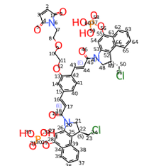 O=C1C=CC(=O)N1CCOCCOc1cc(/C=C/C(=O)N2C[C@@H](CCl)c3c2cc(OP(=O)(O)O)c2ccccc32)ccc1/C=C/C(=O)N1C[C@@H](CCl)c2c1cc(OP(=O)(O)O)c1ccccc21